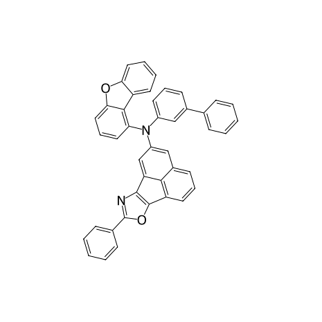 c1ccc(-c2cccc(N(c3cc4c5c(cccc5c3)-c3oc(-c5ccccc5)nc3-4)c3cccc4oc5ccccc5c34)c2)cc1